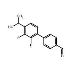 CC(O)c1ccc(-c2ccc(C=O)cc2)c(F)c1F